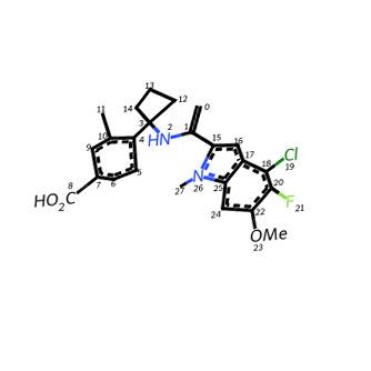 C=C(NC1(c2ccc(C(=O)O)cc2C)CCC1)c1cc2c(Cl)c(F)c(OC)cc2n1C